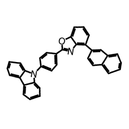 c1ccc2cc(-c3cccc4oc(-c5ccc(-n6c7ccccc7c7ccccc76)cc5)nc34)ccc2c1